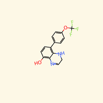 Oc1ccc(-c2ccc(OC(F)(F)F)cc2)c2c1N=CCN2